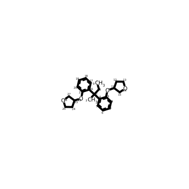 CCC(C)(c1ccccc1OC1CCOC1)c1ccccc1OC1CCOC1